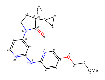 COCCOc1ccc(Nc2cc(N3CC[C@@](C#N)(C4CC4)C3=O)ccn2)nc1